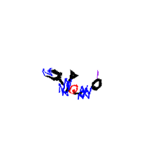 Ic1cccc(-n2nnc(COc3nnc(-c4ccncc4)n3C3CC3)n2)c1